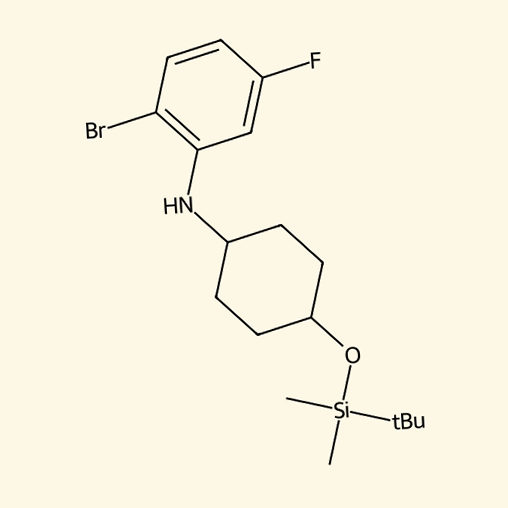 CC(C)(C)[Si](C)(C)OC1CCC(Nc2cc(F)ccc2Br)CC1